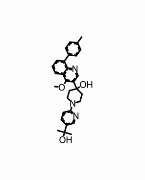 COc1c(C2(O)CCN(c3ccc(C(C)(C)O)cn3)CC2)cnc2c(-c3ccc(C)cc3)cccc12